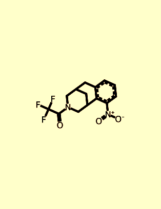 O=C(N1CC2Cc3cccc([N+](=O)[O-])c3C(C2)C1)C(F)(F)F